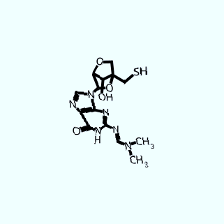 CN(C)C=Nc1nc2c(ncn2C2OC3(CS)COC2C3O)c(=O)[nH]1